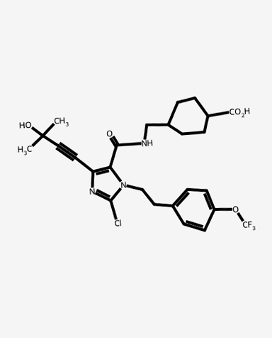 CC(C)(O)C#Cc1nc(Cl)n(CCc2ccc(OC(F)(F)F)cc2)c1C(=O)NCC1CCC(C(=O)O)CC1